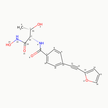 C[C@H](O)[C@H](NC(=O)c1ccc(C#Cc2ccco2)cc1)C(=O)NO